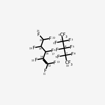 FC(F)(F)C(F)(F)C(F)(F)C(F)(F)C(F)(F)F.FC(F)=C(F)C(F)C(F)C(F)F